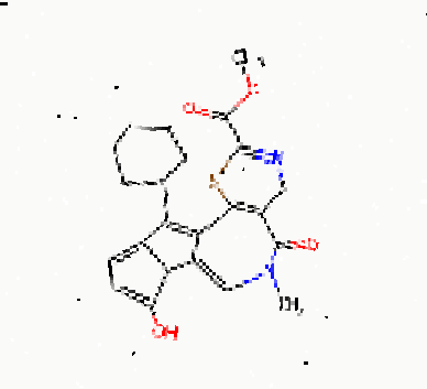 COC(=O)C1=NCC2=C(S1)C1=C(C3CCCCC3)C3=CC=C(O)C3C1=CN(C)C2=O